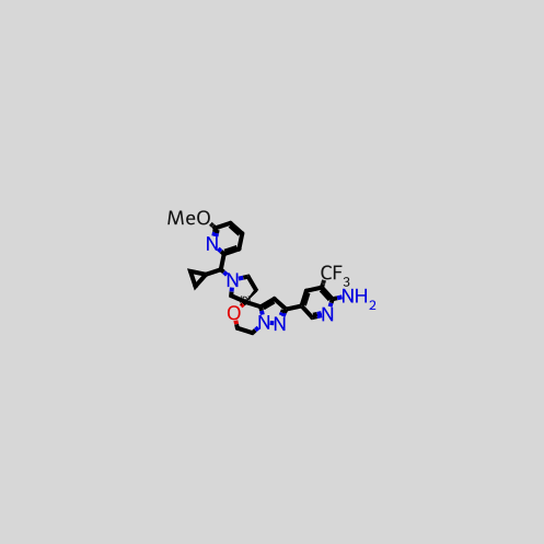 COc1cccc(C(C2CC2)N2CC[C@]3(C2)OCCn2nc(-c4cnc(N)c(C(F)(F)F)c4)cc23)n1